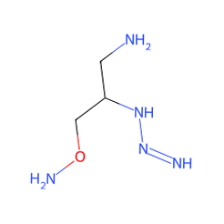 N=NNC(CN)CON